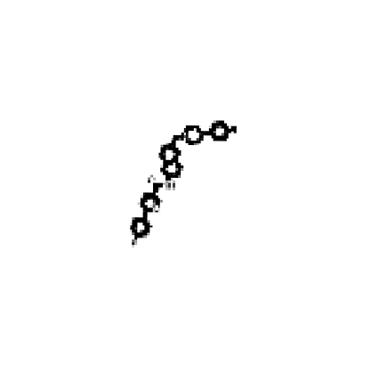 O=C(Nc1ccc2cc(CN3CCC(c4ccc(F)cc4)CC3)ccc2c1)c1ccc(-c2ccc(F)cc2)nc1